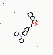 O=CC1C=c2ccccc2=CC1C(=O)/C=C/c1ccc2cc(N(c3ccccc3)c3ccccc3)ccc2c1